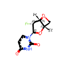 CC[C@]12CO[C@H]1[C@@H](F)[C@H](n1ccc(=O)[nH]c1=O)O2